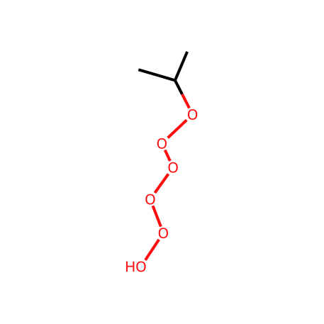 CC(C)OOOOOO